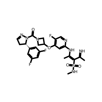 CNS(=O)(=O)/C(C(C)=N)=C(\C)Nc1cc(OC2CN(C(=O)N3N=CC[C@H]3c3cc(F)cc(F)c3)C2)c(F)cn1